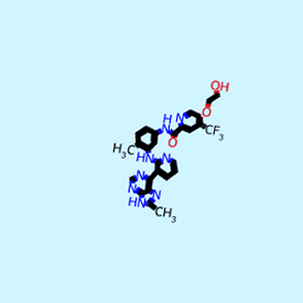 Cc1nc2c(-c3cccnc3Nc3cc(NC(=O)c4cc(C(F)(F)F)c(OCCO)cn4)ccc3C)ncnc2[nH]1